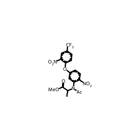 COC(=O)C(C)N(C(C)=O)c1cc(Oc2ccc(C(F)(F)F)cc2[N+](=O)[O-])ccc1[N+](=O)[O-]